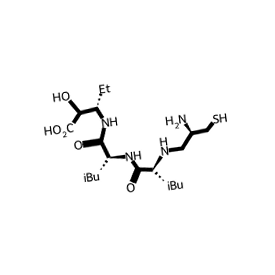 CC[C@H](NC(=O)[C@@H](NC(=O)[C@@H](NC[C@@H](N)CS)[C@@H](C)CC)[C@@H](C)CC)C(O)C(=O)O